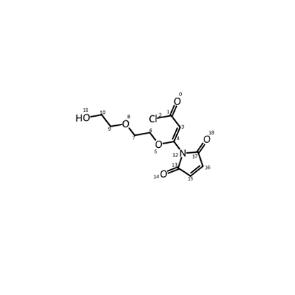 O=C(Cl)C=C(OCCOCCO)N1C(=O)C=CC1=O